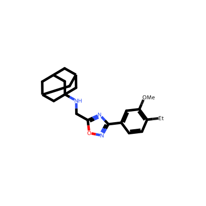 CCc1ccc(-c2noc(CNC34CC5CC(CC(C5)C3)C4)n2)cc1OC